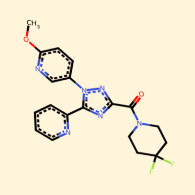 COc1ccc(-n2nc(C(=O)N3CCC(F)(F)CC3)nc2-c2ccccn2)cn1